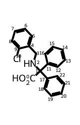 O=C(O)C(NCc1ccccc1Cl)(c1ccccc1)c1ccccc1